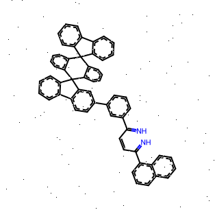 N=C(/C=C\C(=N)c1cccc2ccccc12)c1cccc(-c2ccc3c(c2)C2(c4ccccc4-3)c3ccccc3C3(c4ccccc4-c4ccccc43)c3ccccc32)c1